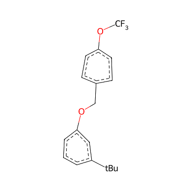 CC(C)(C)c1cccc(OCc2ccc(OC(F)(F)F)cc2)c1